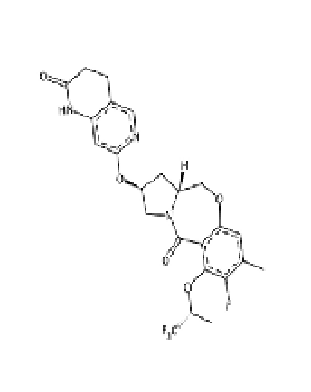 Cc1cc2c(c(O[C@H](C)C(F)(F)F)c1F)C(=O)N1C[C@@H](Oc3cc4c(cn3)CCC(=O)N4)C[C@@H]1CO2